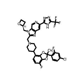 CC1(c2ccc(Cl)cc2F)Oc2c(F)ccc(C3CCN(Cc4nc5cc(-c6nnc(C(F)(F)F)[nH]6)ncc5n4C[C@@H]4CCO4)CC3)c2O1